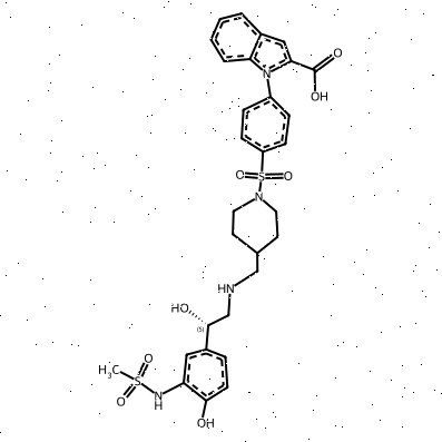 CS(=O)(=O)Nc1cc([C@H](O)CNCC2CCN(S(=O)(=O)c3ccc(-n4c(C(=O)O)cc5ccccc54)cc3)CC2)ccc1O